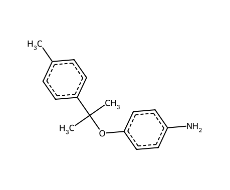 Cc1ccc(C(C)(C)Oc2ccc(N)cc2)cc1